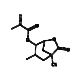 C=C(C)C(=O)OC1C(C)CC2(C#N)CC1OC2=O